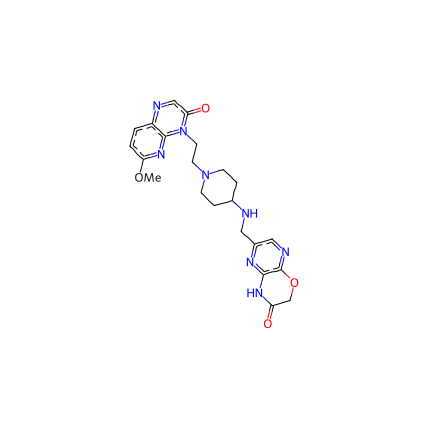 COc1ccc2ncc(=O)n(CCN3CCC(NCc4cnc5c(n4)NC(=O)CO5)CC3)c2n1